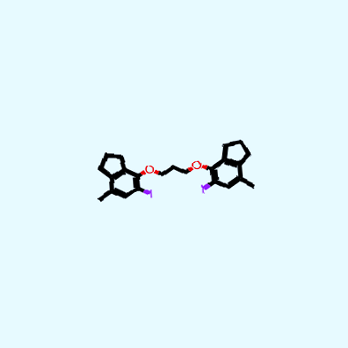 Cc1cc(I)c(OCCCOc2c(I)cc(C)c3c2CCC3)c2c1CCC2